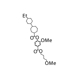 CCC1CCC(C2CCCC(C(=O)Oc3ccc(C(=O)OCCCCOC)cc3OC)CC2)CC1